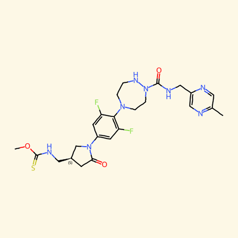 COC(=S)NC[C@@H]1CC(=O)N(c2cc(F)c(N3CCNN(C(=O)NCc4cnc(C)cn4)CC3)c(F)c2)C1